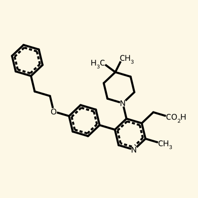 Cc1ncc(-c2ccc(OCCc3ccccc3)cc2)c(N2CCC(C)(C)CC2)c1CC(=O)O